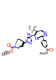 COC(=O)c1ccc(-c2ncc(C(F)(F)F)c(Nc3cnn(C4CCN(C(=O)OC(C)(C)C)CC4)c3)n2)cc1